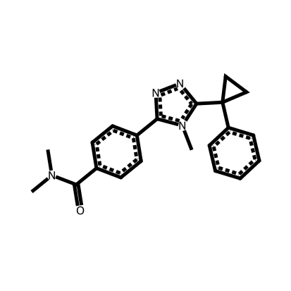 CN(C)C(=O)c1ccc(-c2nnc(C3(c4ccccc4)CC3)n2C)cc1